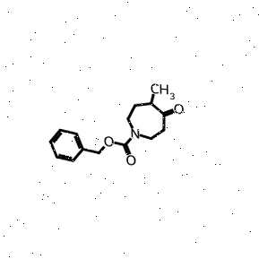 CC1CCN(C(=O)OCc2ccccc2)CCC1=O